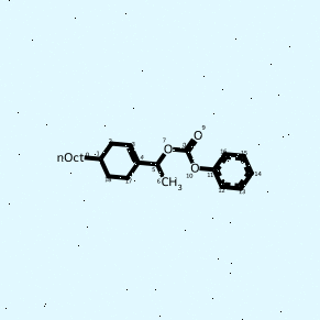 CCCCCCCCC1CC=C(C(C)OC(=O)Oc2ccccc2)CC1